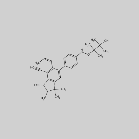 C#Cc1c(/C=C\C)c(-c2ccc(BOC(C)(C)C(C)(C)O)cc2)cc2c1[C@@H](CC)C(C)C2(C)C